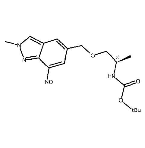 C[C@H](COCc1cc(N=O)c2nn(C)cc2c1)NC(=O)OC(C)(C)C